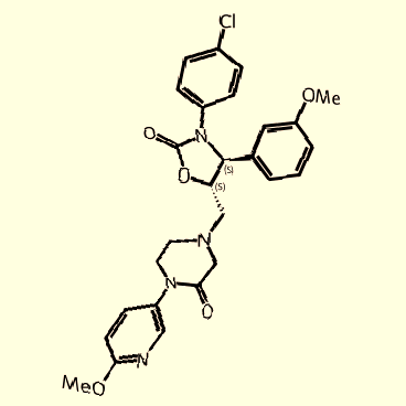 COc1cccc([C@H]2[C@H](CN3CCN(c4ccc(OC)nc4)C(=O)C3)OC(=O)N2c2ccc(Cl)cc2)c1